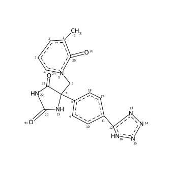 Cc1cccn(CC2(c3ccc(-c4nnn[nH]4)cc3)NC(=O)NC2=O)c1=O